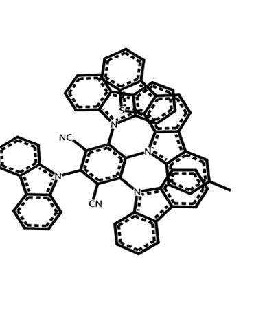 Cc1ccc2c(c1)c1ccc3c4ccccc4sc3c1n2-c1c(-n2c3ccccc3c3ccccc32)c(C#N)c(-n2c3ccccc3c3ccccc32)c(C#N)c1-n1c2ccccc2c2ccccc21